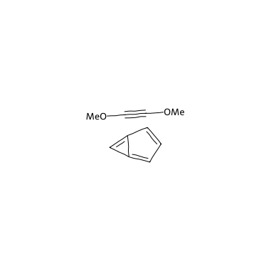 COC#COC.c1cc2cc-2c1